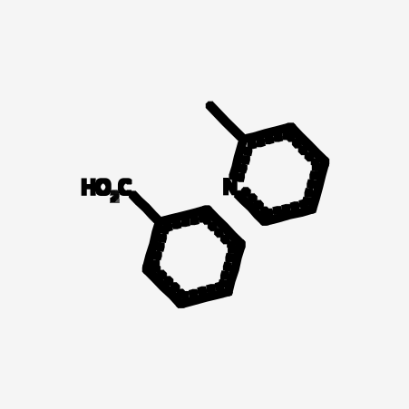 Cc1ccccn1.O=C(O)c1ccccc1